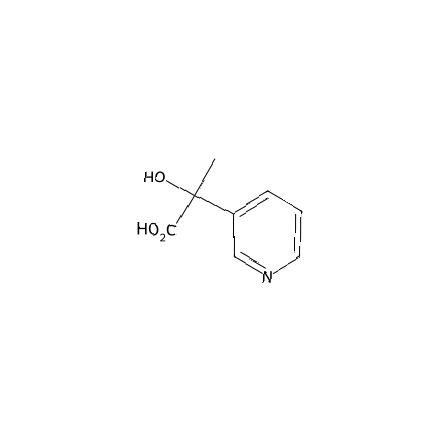 CC(O)(C(=O)O)c1cccnc1